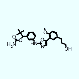 COc1ccc(CCCO)cc1-c1cnc(Nc2cccc(C(OC(N)=O)C(C)(C)C)c2)o1